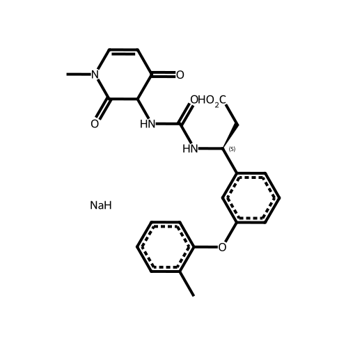 Cc1ccccc1Oc1cccc([C@H](CC(=O)O)NC(=O)NC2C(=O)C=CN(C)C2=O)c1.[NaH]